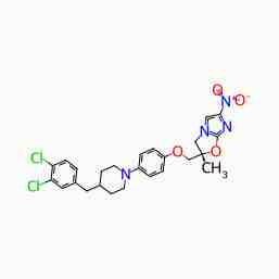 C[C@@]1(COc2ccc(N3CCC(Cc4ccc(Cl)c(Cl)c4)CC3)cc2)Cn2cc([N+](=O)[O-])nc2O1